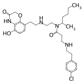 CCCCC(C)N(CCNCCc1ccc(O)c2c1OCC(=O)N2)C(=O)CCNCCc1ccc(Cl)cc1